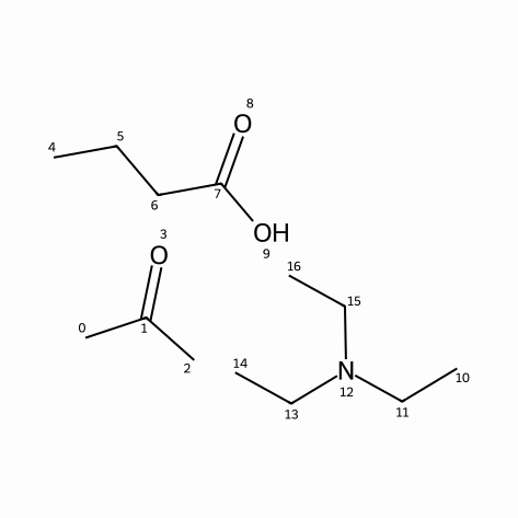 CC(C)=O.CCCC(=O)O.CCN(CC)CC